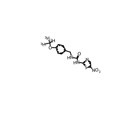 [2H]C([2H])([2H])Oc1ccc(CNC(=O)Nc2ncc([N+](=O)[O-])s2)cc1